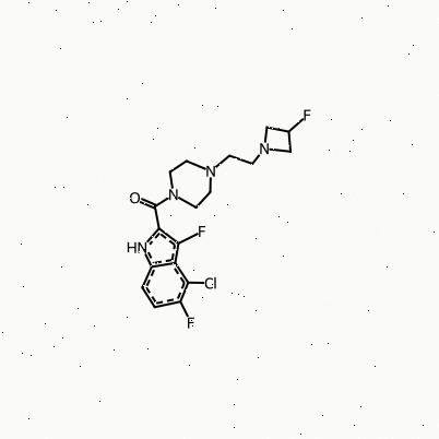 O=C(c1[nH]c2ccc(F)c(Cl)c2c1F)N1CCN(CCN2CC(F)C2)CC1